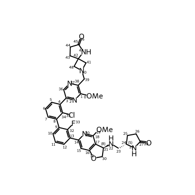 COc1nc(-c2cccc(-c3cccc(-c4cc5c(c(OC)n4)[C@@H](NC[C@@H]4CCC(=O)N4)CO5)c3F)c2Cl)cnc1CN1CC2(CCC(=O)N2)C1